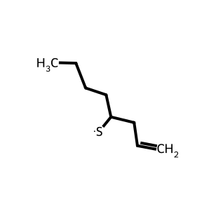 C=CCC([S])CCCC